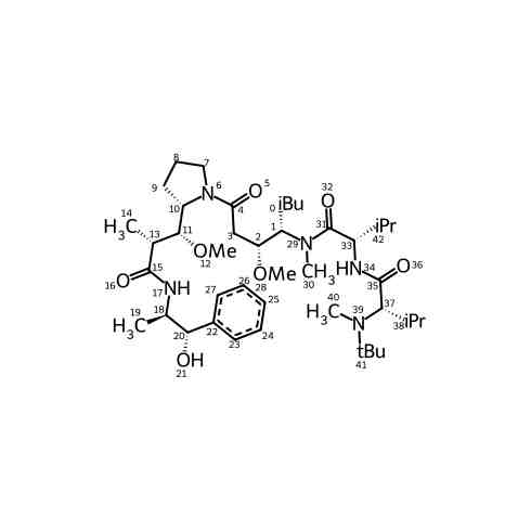 CCC(C)[C@@H]([C@@H](CC(=O)N1CCC[C@H]1[C@H](OC)[C@@H](C)C(=O)N[C@H](C)[C@@H](O)c1ccccc1)OC)N(C)C(=O)[C@@H](NC(=O)[C@H](C(C)C)N(C)C(C)(C)C)C(C)C